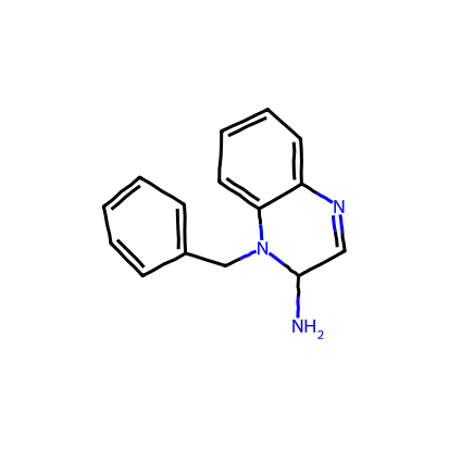 NC1C=Nc2ccccc2N1Cc1ccccc1